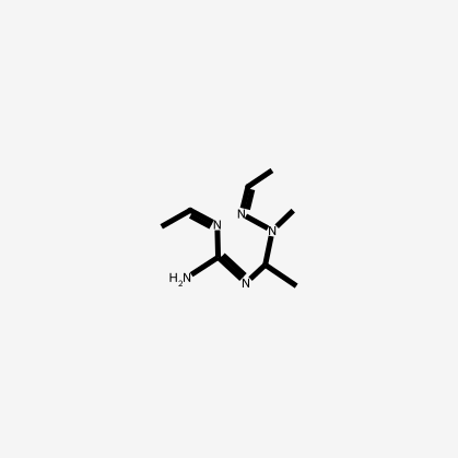 C/C=N\C(N)=N/C(C)N(C)/N=C\C